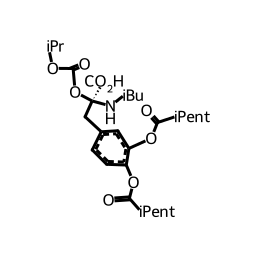 CCCC(C)C(=O)Oc1ccc(C[C@](NC(C)CC)(OC(=O)OC(C)C)C(=O)O)cc1OC(=O)C(C)CCC